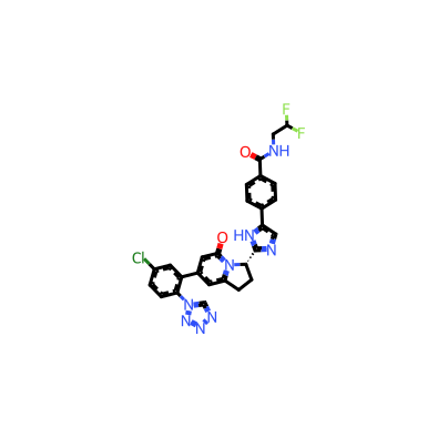 O=C(NCC(F)F)c1ccc(-c2cnc([C@@H]3CCc4cc(-c5cc(Cl)ccc5-n5cnnn5)cc(=O)n43)[nH]2)cc1